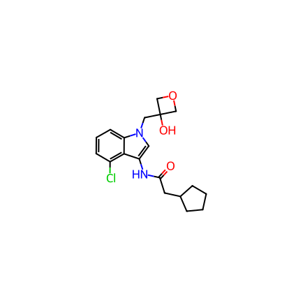 O=C(CC1CCCC1)Nc1cn(CC2(O)COC2)c2cccc(Cl)c12